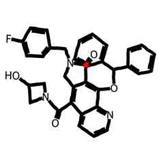 O=C1c2c(c(C(=O)N3CC(O)C3)c3cccnc3c2OC(c2ccccc2)c2ccccc2)CN1Cc1ccc(F)cc1